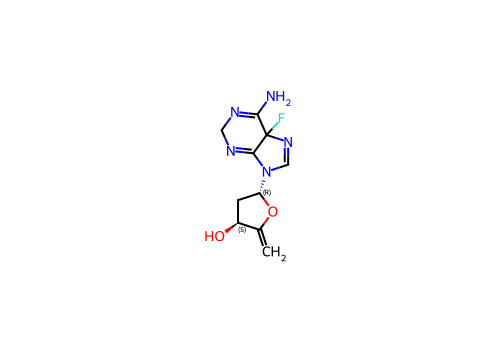 C=C1O[C@@H](N2C=NC3(F)C(N)=NCN=C23)C[C@@H]1O